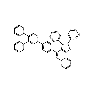 c1cncc(-c2sc3c(c(-c4ccc(-c5ccc6c7ccccc7c7ccccc7c6c5)cc4)nc4ccccc43)c2-c2cccnc2)c1